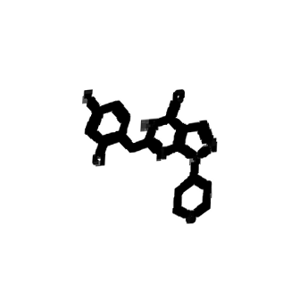 O=c1[nH]c(Cc2ccc(F)cc2Cl)nc2c1cnn2C1CCOCC1